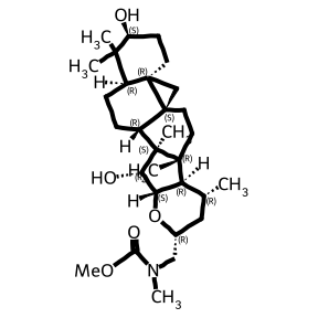 COC(=O)N(C)C[C@H]1C[C@@H](C)[C@H]2[C@H](O1)[C@H](O)[C@@]1(C)[C@@H]3CC[C@H]4C(C)(C)[C@@H](O)CC[C@@]45C[C@@]35CC[C@]21C